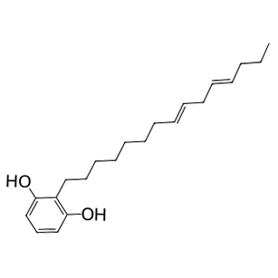 CCCC=CCC=CCCCCCCCc1c(O)cccc1O